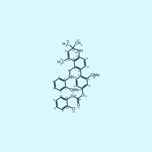 COc1ccccc1NCc1c(-c2ccc(OC(=O)Oc3ccccc3Cl)cc2OC)ccc2c1C(C)=CC(C)(C)N2